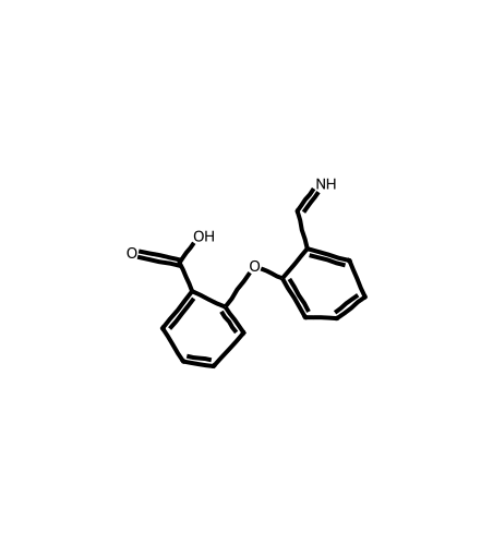 N=Cc1ccccc1Oc1ccccc1C(=O)O